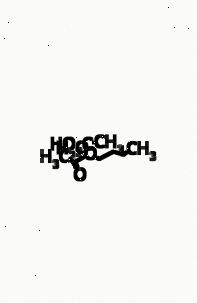 CC(=O)O.CCCCOC(C)=O.O